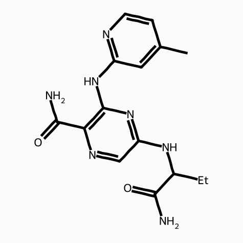 CCC(Nc1cnc(C(N)=O)c(Nc2cc(C)ccn2)n1)C(N)=O